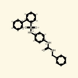 O=C(NCc1ccccc1)Nc1ccc(NS(=O)(=O)c2ccccc2-c2ccccc2)cc1